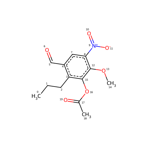 CCCc1c(C=O)cc([N+](=O)[O-])c(OC)c1OC(C)=O